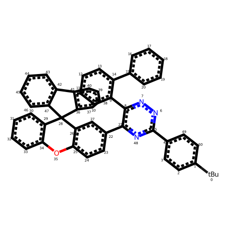 CC(C)(C)c1ccc(-c2nnc(-c3ccccc3-c3ccccc3)c(-c3ccc4c(c3)C3(c5ccccc5O4)c4ccccc4-c4ccccc43)n2)cc1